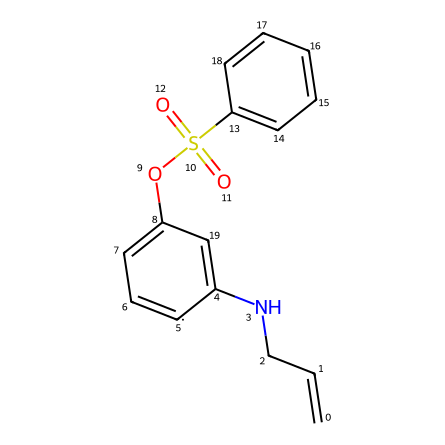 C=CCNc1[c]ccc(OS(=O)(=O)c2ccccc2)c1